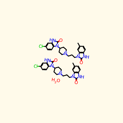 Cc1ccc2[nH]c(=O)n(CCCN3CCC(n4c(=O)[nH]c5cc(Cl)ccc54)CC3)c2c1.Cc1ccc2[nH]c(=O)n(CCCN3CCC(n4c(=O)[nH]c5cc(Cl)ccc54)CC3)c2c1.O